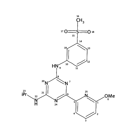 COc1cccc(-c2nc(Nc3cccc(S(C)(=O)=O)c3)nc(NC(C)C)n2)n1